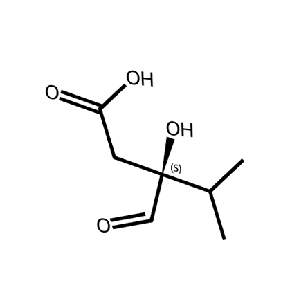 CC(C)[C@](O)(C=O)CC(=O)O